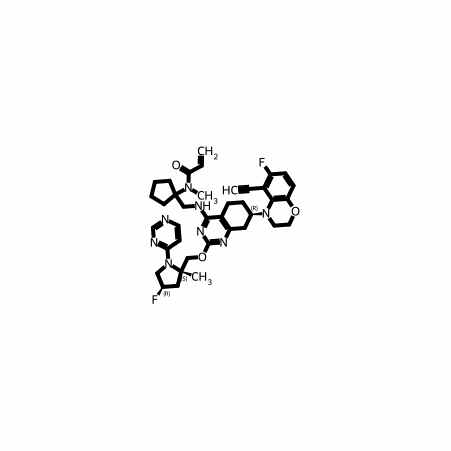 C#Cc1c(F)ccc2c1N([C@@H]1CCc3c(nc(OC[C@]4(C)C[C@@H](F)CN4c4ccncn4)nc3NCC3(N(C)C(=O)C=C)CCCC3)C1)CCO2